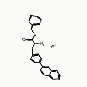 Cl.N[C@@H](Cc1ccc(-c2ccc3ccccc3c2)cc1)C(=O)OCc1ccccc1